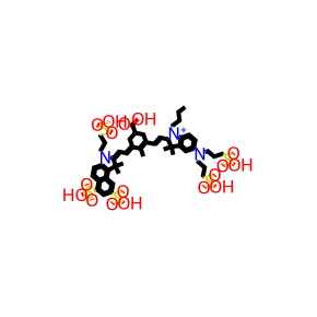 CCCC[N+]1=C(/C=C/C2=C(C)C(=C/C=C3/N(CCCS(=O)(=O)O)c4ccc5c(S(=O)(=O)O)cc(S(=O)(=O)O)cc5c4C3(C)C)/CC(C(=O)O)C2)C(C)(C)c2cc(N(CCCS(=O)(=O)O)CCCS(=O)(=O)O)ccc21